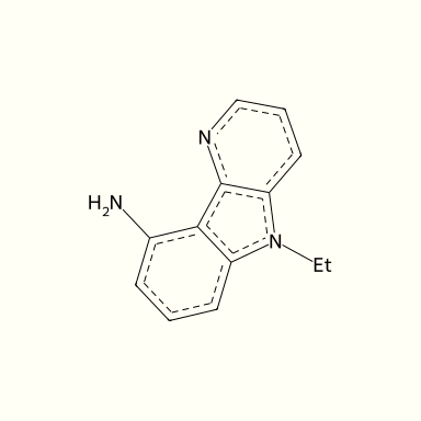 CCn1c2cccnc2c2c(N)cccc21